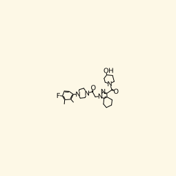 Cc1c(F)ccc(N2CCN(C(=O)Cn3nc(C(=O)N4CCC(O)CC4)c4c3CCCC4)CC2)c1C